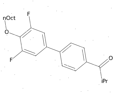 CCCCCCCCOc1c(F)cc(-c2ccc(C(=O)C(C)C)cc2)cc1F